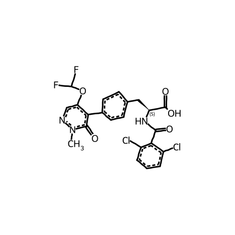 Cn1ncc(OC(F)F)c(-c2ccc(C[C@H](NC(=O)c3c(Cl)cccc3Cl)C(=O)O)cc2)c1=O